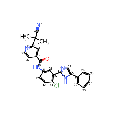 CC(C)(C#N)c1cc(C(=O)Nc2ccc(Cl)c(-c3ncc(-c4ccccc4)[nH]3)c2)ccn1